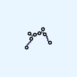 C(/C=C/c1ccc(N(c2ccccc2)c2ccc(-c3ccc(N(c4ccccc4)c4ccc(/C=C/C=C/c5ccccc5)cc4)cc3)cc2)cc1)=C\c1ccccc1